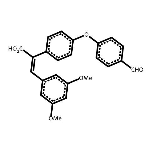 COc1cc(C=C(C(=O)O)c2ccc(Oc3ccc(C=O)cc3)cc2)cc(OC)c1